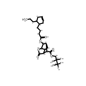 CCCC1CC=CCC1CCCC(=O)OC1C2CC3C1OC(=O)C3C2C(=O)OCC(F)(F)C(F)(F)F